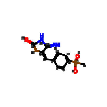 CS(=O)(=O)c1ccc(C=C2SC(=O)NC2=N)cc1